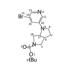 CC(C)(C)OC(=O)N1CC2CCN(c3cncc(Br)c3)C2C1